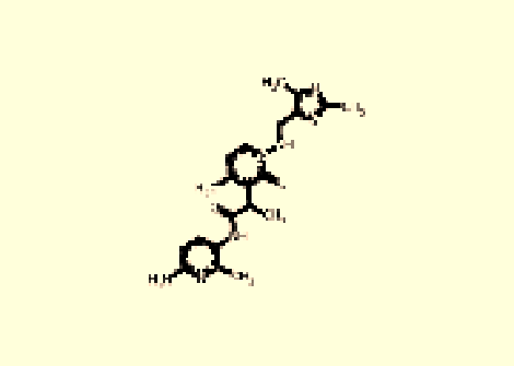 Cc1nc(C)c(CNn2ccc(C)c(C(C)C(=O)Nc3ccc(N)nc3C)c2=O)s1